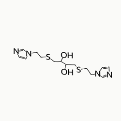 OC(CSCCn1ccnc1)C(O)CSCCn1ccnc1